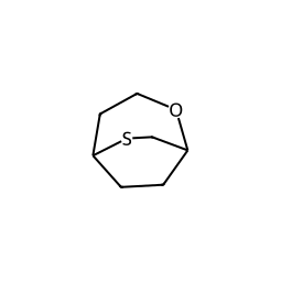 C1CC2CCC(CS2)O1